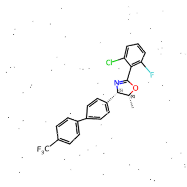 C[C@H]1OC(c2c(F)cccc2Cl)=N[C@H]1c1ccc(-c2ccc(C(F)(F)F)cc2)cc1